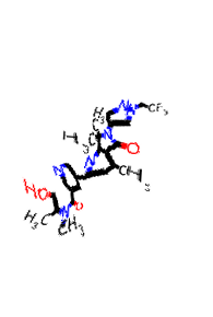 Cc1cc(-c2cncc(C(=O)N(C)C(C)CO)c2)nc2c1C(=O)N(c1cnn(CC(F)(F)F)c1)C2(C)C